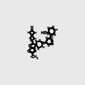 Cc1cc(C2(C(=O)N3CC4(CNC4)C3)CCN(c3cnnc(-c4ccccc4O)c3)CC2)no1